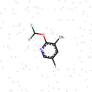 N#Cc1cc(I)cnc1OC(F)F